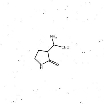 NC(C=O)C1CCNC1=O